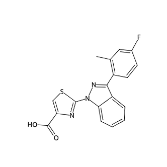 Cc1cc(F)ccc1-c1nn(-c2nc(C(=O)O)cs2)c2ccccc12